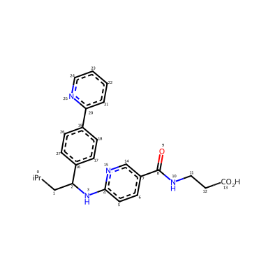 CC(C)CC(Nc1ccc(C(=O)NCCC(=O)O)cn1)c1ccc(-c2ccccn2)cc1